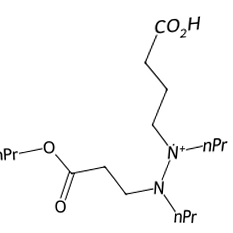 CCCOC(=O)CCN(CCC)[N+](CCC)CCCC(=O)O